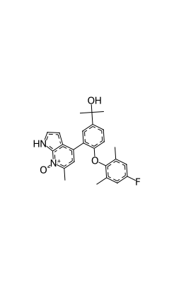 Cc1cc(F)cc(C)c1Oc1ccc(C(C)(C)O)cc1-c1cc(C)[n+]([O-])c2[nH]ccc12